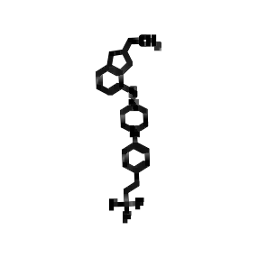 C=CC1Cc2cccc(SN3CCN(c4ccc(CCC(F)(F)F)cc4)CC3)c2C1